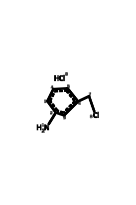 Cl.Nc1cccc(CCl)c1